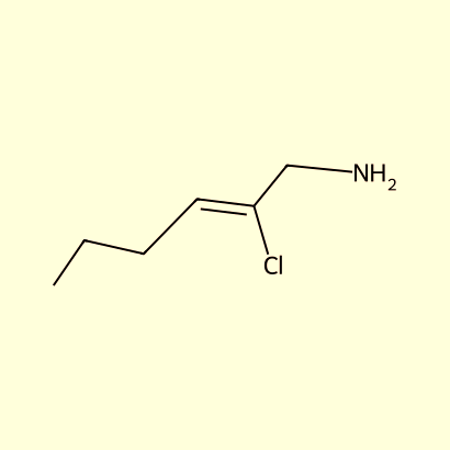 CCCC=C(Cl)CN